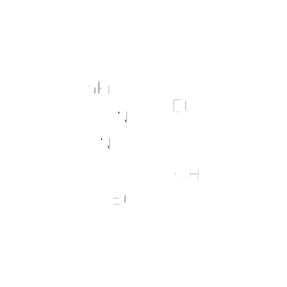 CCCn1nc(CC)c(O)c1CC